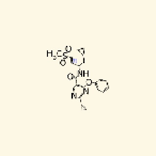 CS(=O)(=O)/C=C/C(CC1CC1)NC(=O)c1cnc(C2CC2)nc1Oc1ccccc1